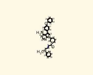 CN(C/C=C/C(=O)N1CCC[C@@H](n2cc(-c3ccc(Oc4ccccc4)cc3)c3c(N)ncnc32)C1)c1ccccn1